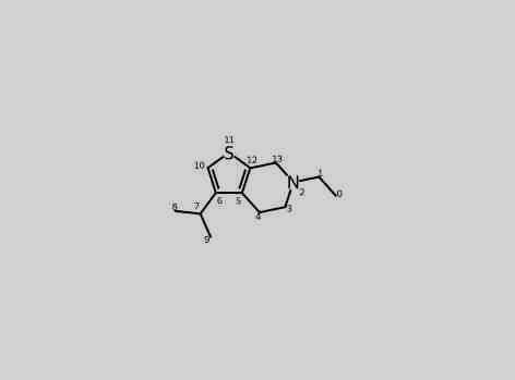 CCN1CCc2c(C(C)C)csc2C1